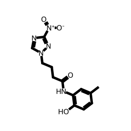 Cc1ccc(O)c(NC(=O)CCCn2cnc([N+](=O)[O-])n2)c1